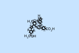 CC(O)c1cc(F)c(-c2csc(C3=C(CN4CCN(c5ccc(C(=O)O)cc5)[C@@H](Oc5cnc6[nH]ccc6c5)C4)CCC(C)(C)C3)c2)c(F)c1